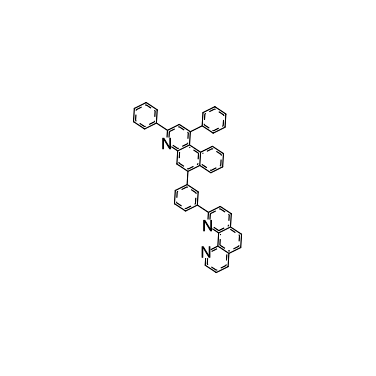 c1ccc(-c2cc(-c3ccccc3)c3c(cc(-c4cccc(-c5ccc6ccc7cccnc7c6n5)c4)c4ccccc43)n2)cc1